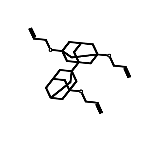 C=CCOC12CC3CC(C1)CC(C14CC5CC(OCC=C)(CC(OCC=C)(C5)C1)C4)(C3)C2